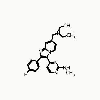 CCN(CC)Cc1ccn2c(-c3ccnc(NC)n3)c(-c3ccc(F)cc3)nc2c1